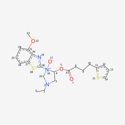 CCN1CC(OC(=O)CCCc2cccs2)[N+]([O-])(c2nc3c(OC)cccc3s2)C1